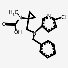 CN(C(=O)O)C1(CN(Cc2ccccc2)c2ccc(Cl)nc2)CC1